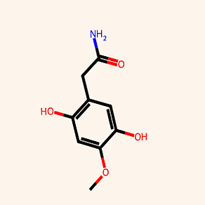 COc1cc(O)c(CC(N)=O)cc1O